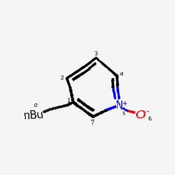 CCCCc1ccc[n+]([O-])c1